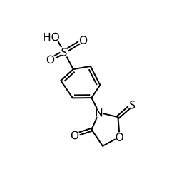 O=C1COC(=S)N1c1ccc(S(=O)(=O)O)cc1